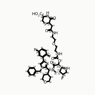 C[C@H](OC(=O)NCCOCCNC(=O)CC1SC[C@@H](C(=O)O)NC1=O)C(=O)N(C[C@@H]1CNC[C@@H]1F)[C@@H](c1nc(-c2cc(F)ccc2F)cn1Cc1ccccc1)C1CCOCC1